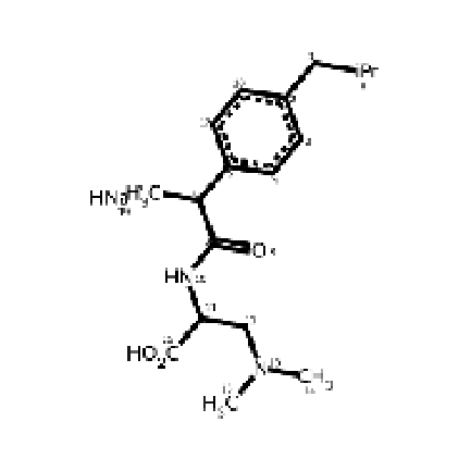 CC(C)Cc1ccc(C(C)C(=O)NC(CN(C)C)C(=O)O)cc1.[NaH]